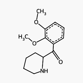 COc1cccc(C(=O)C2CCCCN2)c1OC